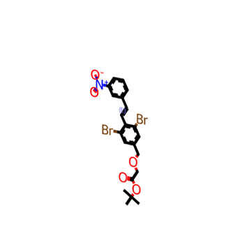 CC(C)(C)OC(=O)COCc1cc(Br)c(/C=C/c2cccc([N+](=O)[O-])c2)c(Br)c1